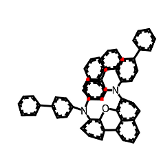 c1ccc(-c2ccc(N(c3ccc(-c4ccccc4)cc3)c3cccc4c3Oc3c(N(c5ccc(-c6ccccc6)cc5)c5cccc6ccccc56)ccc5cccc-4c35)cc2)cc1